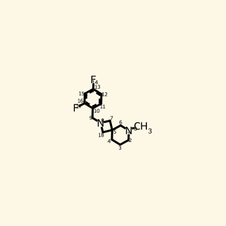 CN1CCCC2(C1)CN(Cc1ccc(F)cc1F)C2